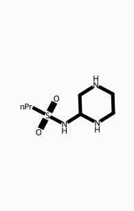 CCCS(=O)(=O)NC1CNCCN1